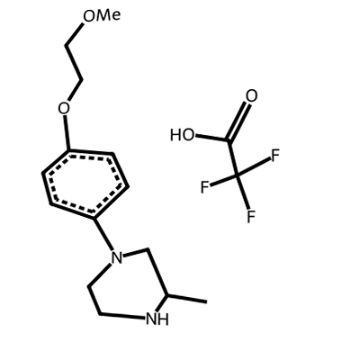 COCCOc1ccc(N2CCNC(C)C2)cc1.O=C(O)C(F)(F)F